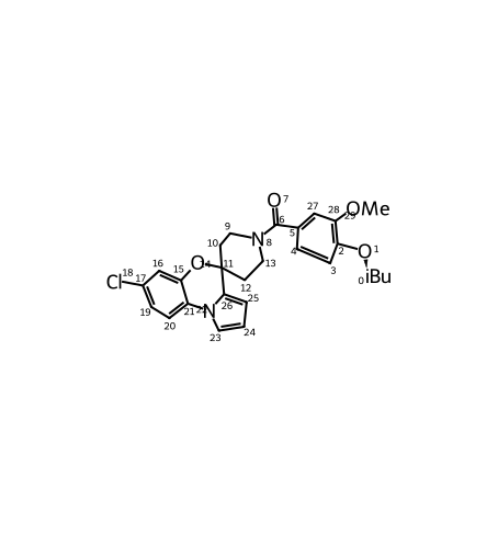 CC[C@H](C)Oc1ccc(C(=O)N2CCC3(CC2)Oc2cc(Cl)ccc2-n2cccc23)cc1OC